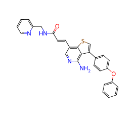 Nc1ncc(/C=C/C(=O)NCc2ccccn2)c2scc(-c3ccc(Oc4ccccc4)cc3)c12